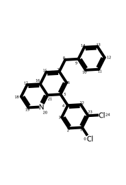 Clc1ccc(-c2cc(Cc3ccccc3)cc3cccnc23)cc1Cl